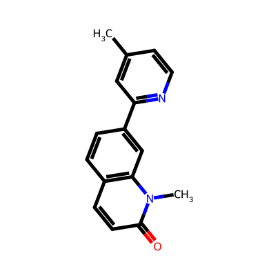 Cc1ccnc(-c2ccc3ccc(=O)n(C)c3c2)c1